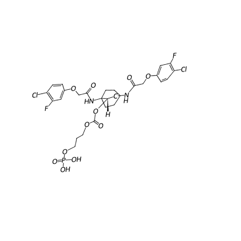 O=C(COc1ccc(Cl)c(F)c1)NC12CCC(NC(=O)COc3ccc(Cl)c(F)c3)(CC1)[C@@H](OC(=O)OCCCOP(=O)(O)O)C2